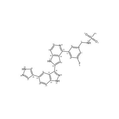 CS(=O)(=O)NCc1cc(F)cc(-c2nccc3[nH]c(-c4n[nH]c5ccc(-c6cn[nH]c6)cc45)cc23)c1